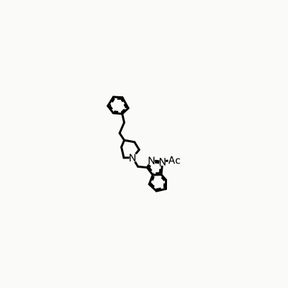 CC(=O)n1nc(CN2CCC(CCc3ccccc3)CC2)c2ccccc21